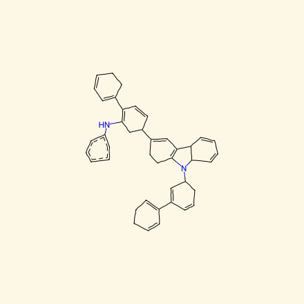 C1=CCCC(C2=C(Nc3ccccc3)CC(C3=CC4=C(CC3)N(C3C=C(C5=CCCC=C5)C=CC3)C3C=CC=CC43)C=C2)=C1